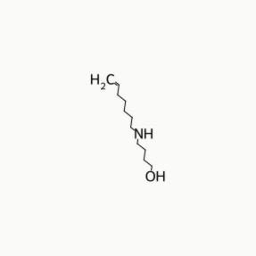 C=CCCCCCNCCCCO